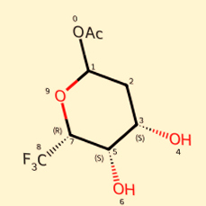 CC(=O)OC1C[C@H](O)[C@H](O)[C@H](C(F)(F)F)O1